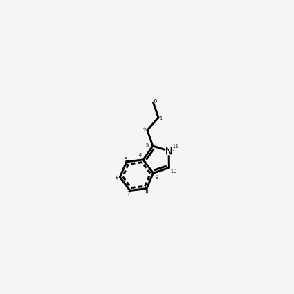 CCCC1=c2ccccc2=C[N]1